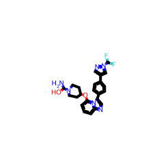 NC(O)N1CCC(Oc2cccc3ncc(-c4ccc(-c5cnn(C(F)F)c5)cc4)n23)CC1